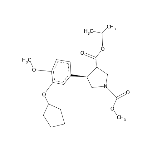 COC(=O)N1C[C@@H](C(=O)OC(C)C)[C@H](c2ccc(OC)c(OC3CCCC3)c2)C1